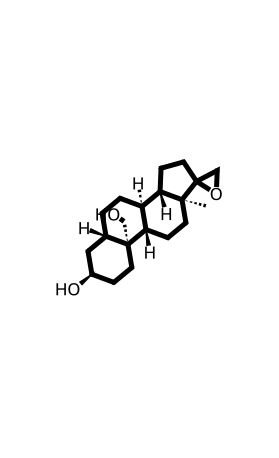 C[C@]12CC[C@H]3[C@@H](CC[C@H]4C[C@H](O)CC[C@@]43CO)[C@@H]1CCC21CO1